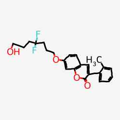 Cc1ccccc1-c1cc2ccc(OCCCC(F)(F)CCCO)cc2oc1=O